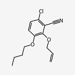 C=CCOc1c(OCCCC)ccc(Cl)c1C#N